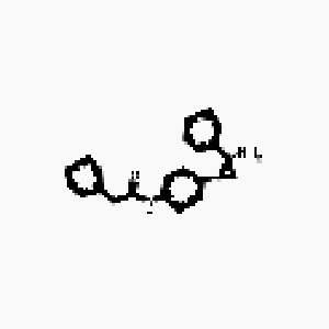 N[C@]1(c2ccccc2)C[C@H]1c1ccc(NC(=O)Cc2ccccc2)cc1